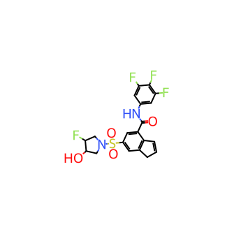 O=C(Nc1cc(F)c(F)c(F)c1)c1cc(S(=O)(=O)N2CC(O)C(F)C2)cc2c1C=CC2